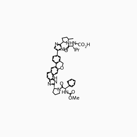 COC(=O)N[C@@H](C(=O)N1CCC[C@H]1c1nc2ccc3cc4c(cc3c2[nH]1)OCc1cc(-c2cnc(C3CCC(C)N3C(=O)[C@@H](NC(=O)O)C(C)C)[nH]2)ccc1-4)c1ccccc1